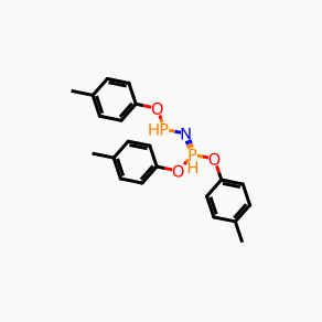 Cc1ccc(OPN=[PH](Oc2ccc(C)cc2)Oc2ccc(C)cc2)cc1